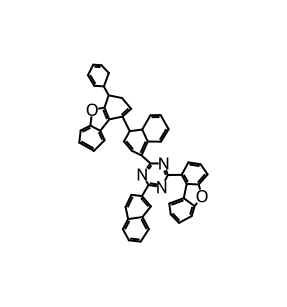 C1=CCC(C2CC=C(C3C=CC(c4nc(-c5ccc6ccccc6c5)nc(-c5cccc6oc7ccccc7c56)n4)=C4C=CC=CC43)c3c2oc2ccccc32)C=C1